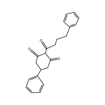 O=C(CCCc1ccccc1)C1C(=O)CC(c2ccccc2)CC1=O